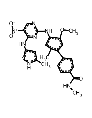 CNC(=O)c1ccc(-c2cc(OC)c(Nc3ncc([N+](=O)[O-])c(Nc4cc(C)[nH]n4)n3)cc2C)cc1